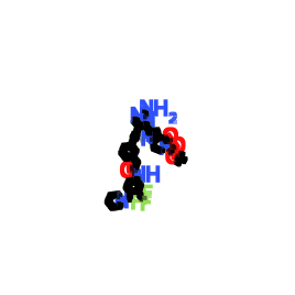 Cn1c(-c2nc(N)ncc2C#Cc2cccc(CC(=O)Nc3ccc(CN4CCCCC4)c(C(F)(F)F)c3)c2)cc2c1CCN(C(=O)OC(C)(C)C)C2=O